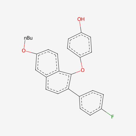 CCCCOc1ccc2c(Oc3ccc(O)cc3)c(-c3ccc(F)cc3)ccc2c1